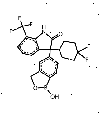 O=C1Nc2c(C(F)(F)F)cccc2[C@@]1(c1ccc2c(c1)COB2O)C1CCC(F)(F)CC1